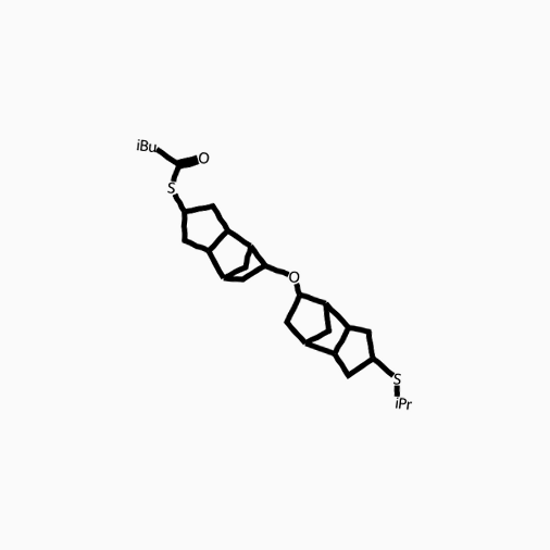 CCC(C)C(=O)SC1CC2C3CC(OC4CC5CC4C4CC(SC(C)C)CC54)C(C3)C2C1